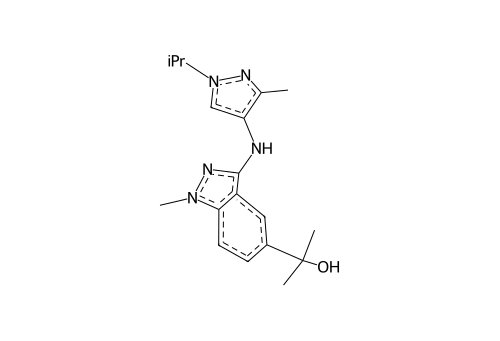 Cc1nn(C(C)C)cc1Nc1nn(C)c2ccc(C(C)(C)O)cc12